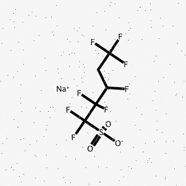 O=S(=O)([O-])C(F)(F)C(F)(F)C(F)CC(F)(F)F.[Na+]